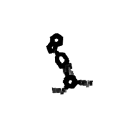 Cc1cc(C(=O)O)cc(C(=O)O)c1.c1ccc2c(c1)ccn2C1CCNCC1